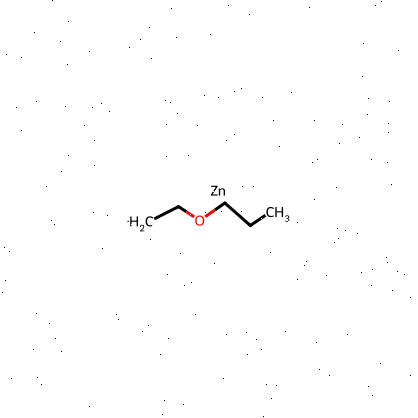 [CH2]COCCC.[Zn]